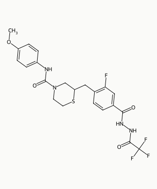 COc1ccc(NC(=O)N2CCSC(Cc3ccc(C(=O)NNC(=O)C(F)(F)F)cc3F)C2)cc1